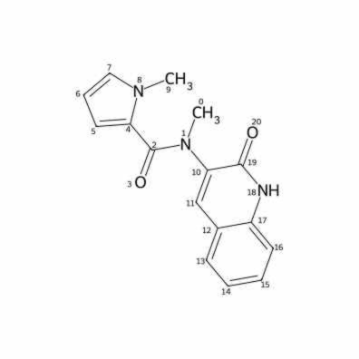 CN(C(=O)c1cccn1C)c1cc2ccccc2[nH]c1=O